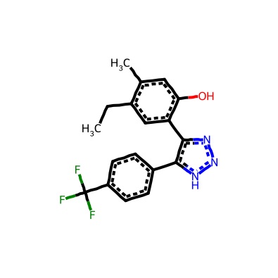 CCc1cc(-c2nn[nH]c2-c2ccc(C(F)(F)F)cc2)c(O)cc1C